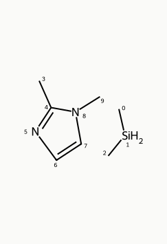 C[SiH2]C.Cc1nccn1C